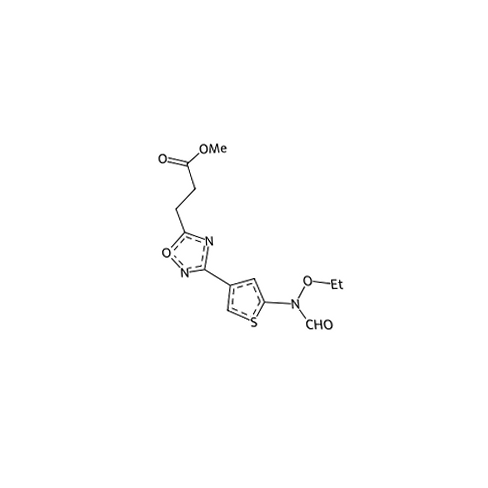 CCON(C=O)c1cc(-c2noc(CCC(=O)OC)n2)cs1